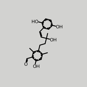 Cc1cc(O)c(C=O)c(C)c1CCC(C)(O)/C=C\c1cc(O)ccc1O